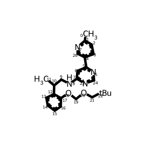 Cc1ccc(-c2cc(NCC(C)c3ccccc3OCOCC(C)(C)C)ncn2)cn1